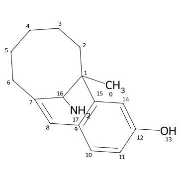 CC12CCCCCC(=Cc3ccc(O)cc31)C2N